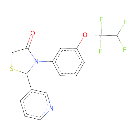 O=C1CSC(c2cccnc2)N1c1cccc(OC(F)(F)C(F)F)c1